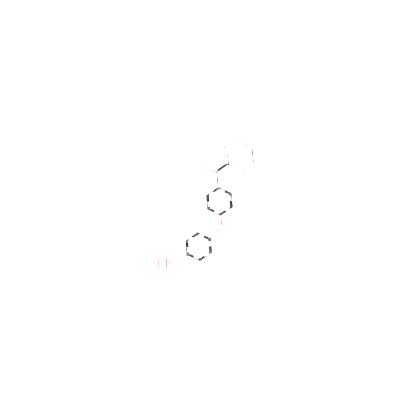 CC(=C1SCCCS1)c1ccc(Oc2ccc(O)cc2)cc1